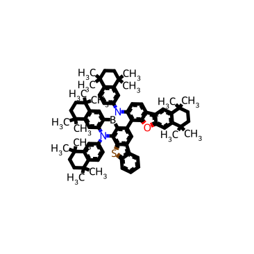 CC1(C)CCC(C)(C)c2cc(N3B4c5cc6c(cc5N(c5ccc7c(c5)C(C)(C)CCC7(C)C)c5c4c(cc4c5sc5ccccc54)-c4c3ccc3c4oc4cc5c(cc43)C(C)(C)CCC5(C)C)C(C)(C)CCC6(C)C)ccc21